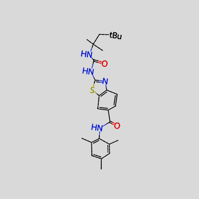 Cc1cc(C)c(NC(=O)c2ccc3nc(NC(=O)NC(C)(C)CC(C)(C)C)sc3c2)c(C)c1